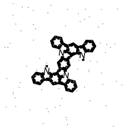 Cn1c2ccccc2c2cc3c4ccccc4n4c5cc6c7c8c(cc9c%10ccccc%10n(c6cc5c(c21)c34)c97)c1ccccc1n8C